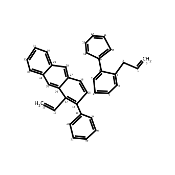 C=CCc1ccccc1-c1ccccc1.C=Cc1c(-c2ccccc2)ccc2cc3ccccc3cc12